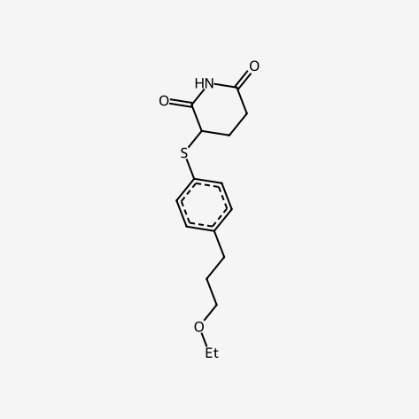 CCOCCCc1ccc(SC2CCC(=O)NC2=O)cc1